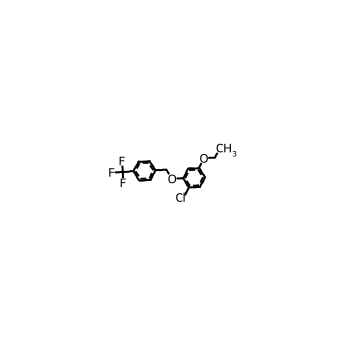 CCOc1ccc(Cl)c(OCc2ccc(C(F)(F)F)cc2)c1